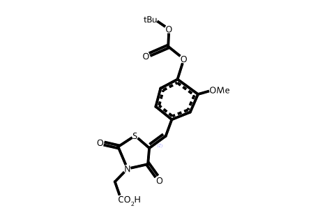 COc1cc(/C=C2\SC(=O)N(CC(=O)O)C2=O)ccc1OC(=O)OC(C)(C)C